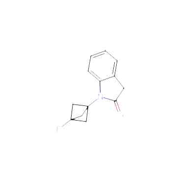 O=C1Cc2ccccc2N1C12CC(F)(C1)C2